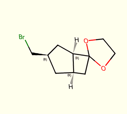 BrC[C@@H]1C[C@@H]2CC3(OCCO3)[C@@H]2C1